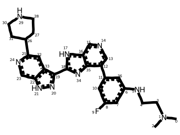 CN(C)CCNc1cc(F)cc(-c2cncc3[nH]c(-c4n[nH]c5cnc(C6CCNCC6)cc45)nc23)c1